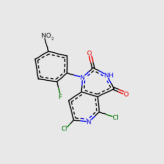 O=c1[nH]c(=O)n(-c2cc([N+](=O)[O-])ccc2F)c2cc(Cl)nc(Cl)c12